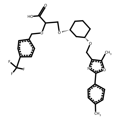 Cc1ccc(-c2nc(CO[C@H]3CCC[C@@H](OCC(OCc4ccc(C(F)(F)F)cc4)C(=O)O)C3)c(C)o2)cc1